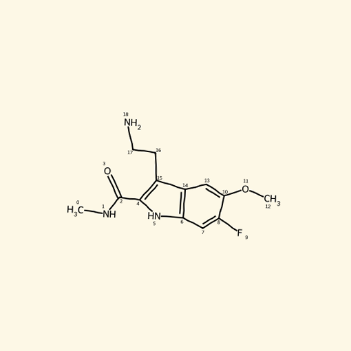 CNC(=O)c1[nH]c2cc(F)c(OC)cc2c1CCN